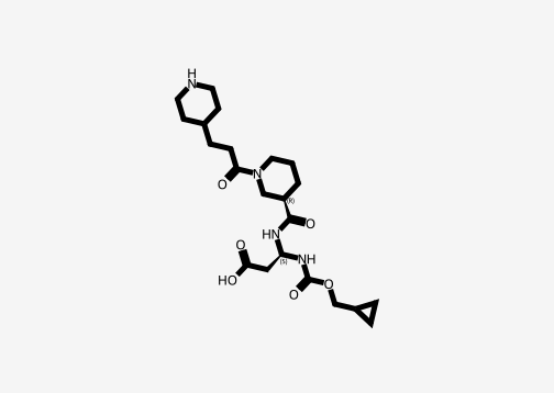 O=C(O)C[C@H](NC(=O)OCC1CC1)NC(=O)[C@@H]1CCCN(C(=O)CCC2CCNCC2)C1